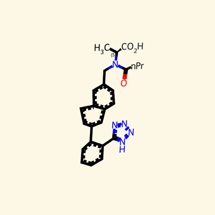 CCCC(=O)N(Cc1ccc2cc(-c3ccccc3-c3nnn[nH]3)ccc2c1)[C@@H](C)C(=O)O